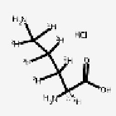 Cl.[2H]C([2H])(N)C([2H])([2H])C([2H])([2H])[C@]([2H])(N)C(=O)O